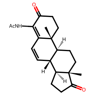 CC(=O)NC1=C2C=C[C@@H]3[C@H](CC[C@]4(C)C(=O)CC[C@@H]34)[C@@]2(C)CCC1=O